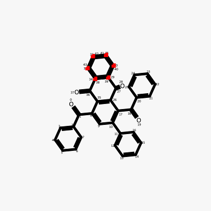 O=C(c1ccccc1)c1cc(-c2ccccc2)c(C(=O)c2ccccc2)c(C(=O)c2ccccc2)c1C(=O)c1ccccc1